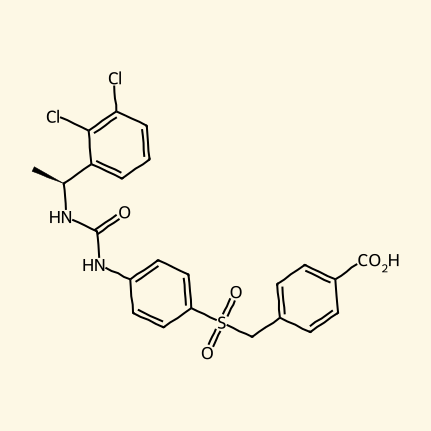 C[C@H](NC(=O)Nc1ccc(S(=O)(=O)Cc2ccc(C(=O)O)cc2)cc1)c1cccc(Cl)c1Cl